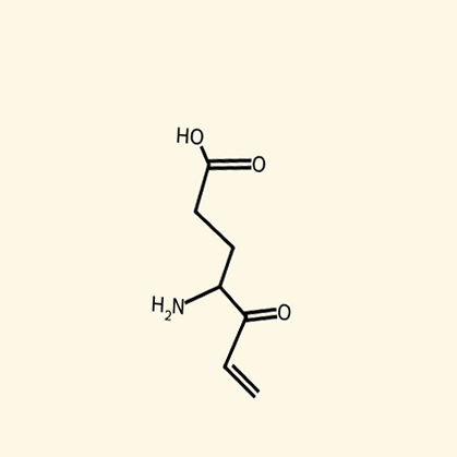 C=CC(=O)C(N)CCC(=O)O